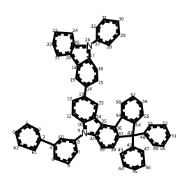 c1ccc(-c2cccc(-n3c4ccc(-c5ccc6c(c5)c5ccccc5n6-c5ccccc5)cc4c4c5c(ccc43)C(c3ccccc3)(c3ccccc3)c3ccccc3-5)c2)cc1